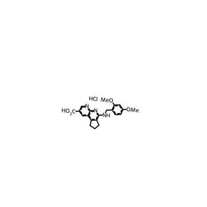 COc1ccc(CNc2nc3ncc(C(=O)O)cc3c3c2CCC3)c(OC)c1.Cl